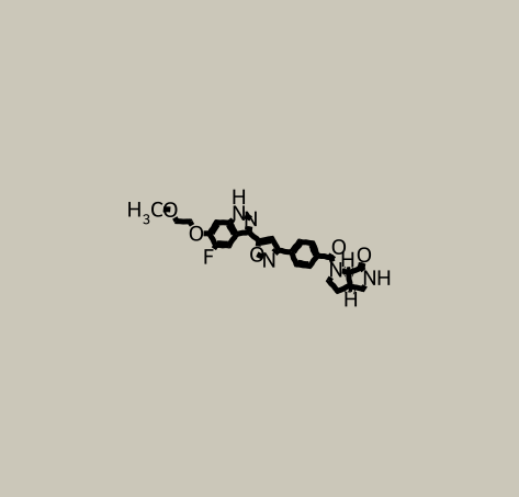 COCCOc1cc2[nH]nc(-c3cc(-c4ccc(C(=O)N5CC[C@H]6CNC(=O)[C@H]65)cc4)no3)c2cc1F